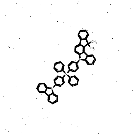 CC1(C)c2ccccc2-c2ccc3c(c21)c1ccccc1n3-c1ccc([Si](c2ccccc2)(c2ccccc2)c2ccc(-n3c4ccccc4c4ccccc43)cc2)cc1